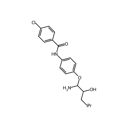 CC(C)CC(O)C(N)Oc1ccc(NC(=O)c2ccc(Cl)cc2)cc1